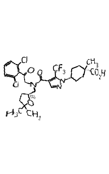 CC1(C)CC[C@@H](CN(CC(=O)c2c(Cl)cccc2Cl)C(=O)c2cnn([C@H]3CC[C@](C)(C(=O)O)CC3)c2C(F)(F)F)O1